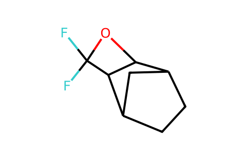 FC1(F)OC2C3CCC(C3)C21